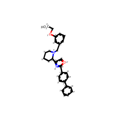 O=C(O)COc1cccc(CN2CCCCC2c2coc(-c3ccc(-c4ccccc4)cc3)n2)c1